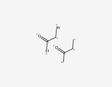 CCC(=O)CC(C)C.CCC(C)=O